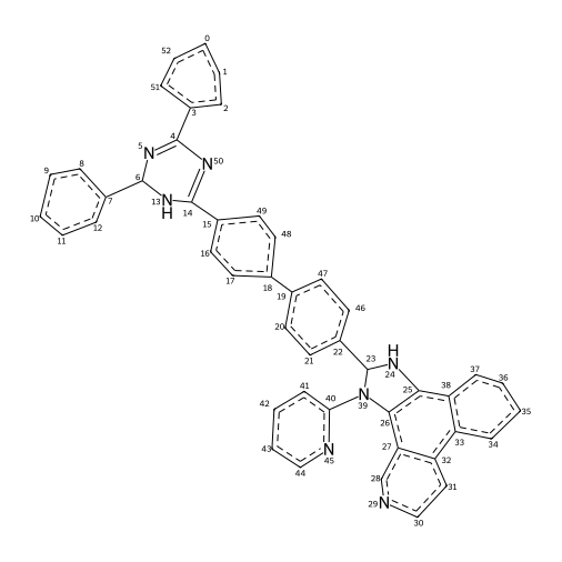 c1ccc(C2=NC(c3ccccc3)NC(c3ccc(-c4ccc(C5Nc6c(c7cnccc7c7ccccc67)N5c5ccccn5)cc4)cc3)=N2)cc1